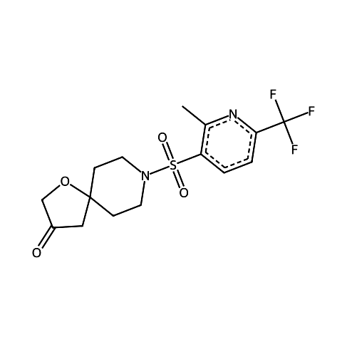 Cc1nc(C(F)(F)F)ccc1S(=O)(=O)N1CCC2(CC1)CC(=O)CO2